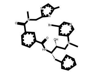 Cc1csc(CN(C)C(=O)c2cccc(C(=O)N[C@@H](Cc3ccccc3)[C@H](O)CN(C)c3cncc(Br)c3)c2)n1